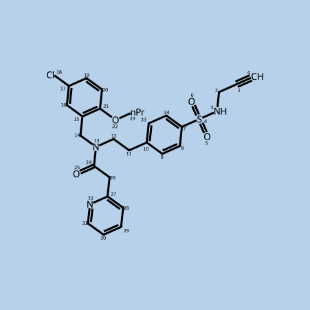 C#CCNS(=O)(=O)c1ccc(CCN(Cc2cc(Cl)ccc2OCCC)C(=O)Cc2ccccn2)cc1